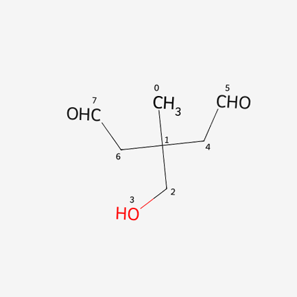 CC(CO)(CC=O)CC=O